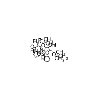 CC(C)(C)OC[C@H]1O[C@](n2cc(C(F)F)c(=O)[nH]c2=O)([SiH](c2ccccc2)c2ccccc2)[C@H](OC(C)(C)C)[C@@H]1O